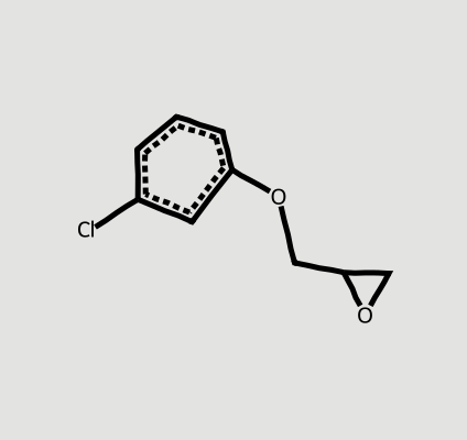 Clc1cccc(OCC2CO2)c1